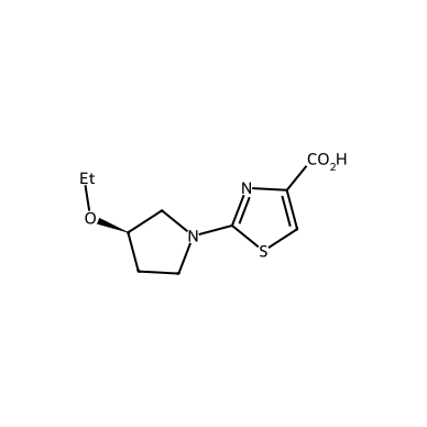 CCO[C@@H]1CCN(c2nc(C(=O)O)cs2)C1